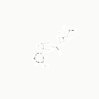 CC(C)c1cccc(C23CC2CN(C(=O)C2CC4(COC(=O)N4)C2)C3)c1